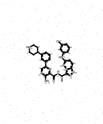 C[C@@H](NC(=O)c1nc(-c2cccc(C3CCNCC3)c2)cnc1N)c1nnc2ccc(Nc3cccc(Cl)c3)nn12